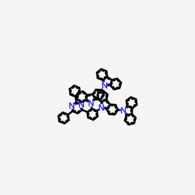 c1ccc(-c2cc(-c3cccc(-n4c5ccccc5c5cc(-n6c7ccccc7c7ccccc76)ccc54)c3-n3c4ccccc4c4cc(-n5c6ccccc6c6ccccc65)ccc43)nc(-c3ccccc3)n2)cc1